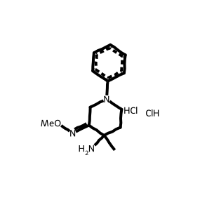 CON=C1CN(c2ccccc2)CCC1(C)N.Cl.Cl